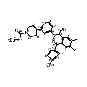 Cc1cc2c(cc1C)C(O)N(c1ccnc(C3CCN(C(=O)OC(C)(C)C)CC3)c1)N=C2c1ccc(Cl)cc1